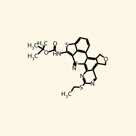 CCSc1ncc2c3c(c(-c4cccc5sc(NC(=O)OC(C)(C)C)c(C#N)c45)c(F)c2n1)COC3